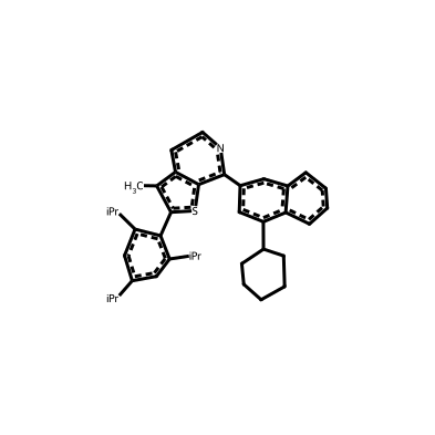 Cc1c(-c2c(C(C)C)cc(C(C)C)cc2C(C)C)sc2c(-c3cc(C4CCCCC4)c4ccccc4c3)nccc12